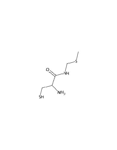 CSCNC(=O)C(N)CS